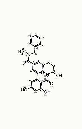 CC1CCc2cc(C(=O)N(C)Cc3cccnc3)ccc2N1C(=O)c1ccc(O)cc1O